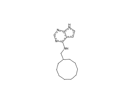 c1nc(NCC2CCCCCCCCC2)c2cc[nH]c2n1